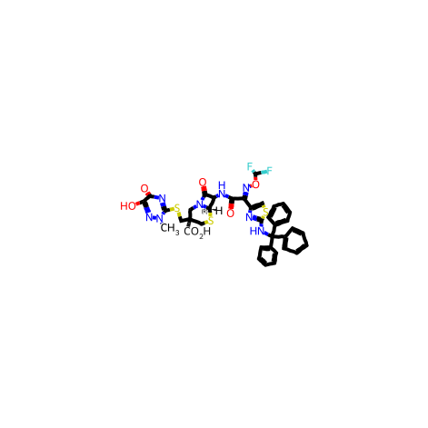 Cn1nc(O)c(=O)nc1SCC1(C(=O)O)CS[C@@H]2C(NC(=O)C(=NOC(F)F)c3csc(NC(c4ccccc4)(c4ccccc4)c4ccccc4)n3)C(=O)N2C1